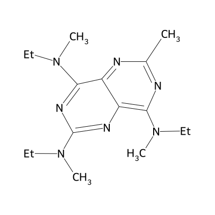 CCN(C)c1nc(N(C)CC)c2nc(C)nc(N(C)CC)c2n1